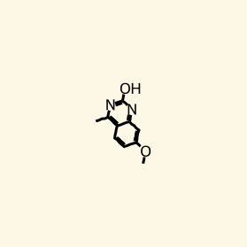 COc1ccc2c(C)nc(O)nc2c1